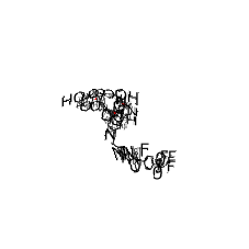 CC[C@H]1OC(=O)[C@H](C)[C@@H](O[C@H]2C[C@@](C)(OC)[C@@H](O)[C@H](C)O2)[C@H](C)[C@@H](O[C@H]2C[C@@H](N(C)CCc3cn([C@H](CF)[C@H](OC)c4ccc(S(=O)(=O)CC(F)(F)F)cc4)nn3)C[C@@H](C)O2)[C@](C)(O)[C@@H]2O[C@H]([C@@H](C)N(C)C[C@@H]2C)[C@]1(C)O